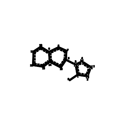 Cc1nnnn1-c1ccc2ccccc2c1